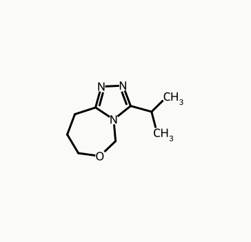 CC(C)c1nnc2n1COCCC2